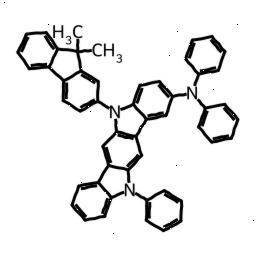 CC1(C)c2ccccc2-c2ccc(-n3c4ccc(N(c5ccccc5)c5ccccc5)cc4c4cc5c(cc43)c3ccccc3n5-c3ccccc3)cc21